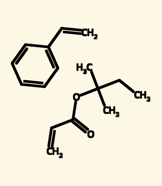 C=CC(=O)OC(C)(C)CC.C=Cc1ccccc1